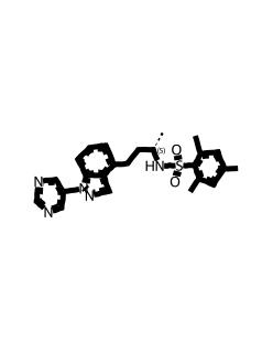 Cc1cc(C)c(S(=O)(=O)N[C@@H](C)CCc2cccc3c2cnn3-c2cncnc2)c(C)c1